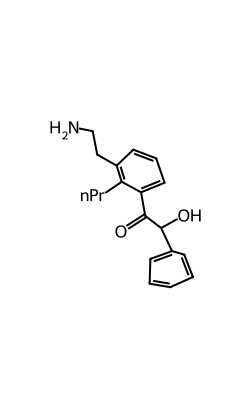 CCCc1c(CCN)cccc1C(=O)C(O)c1ccccc1